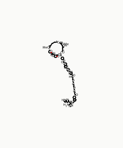 CO[C@H]1CC2CCC[C@@](O)(O2)C(=O)C(=O)N2CCCC[C@H]2C(=O)O[C@H](CC[C@H]2CC[C@H](OC(=O)N3CCc4nc(N5CCN(c6ncc(C(=O)NCCOCCOCCOCCOCCC(=O)N7CCc8cc(Cn9nc(-c%10cnc%11[nH]ccc%11c%10)c%10c(N)ncnc%109)ccc8C7)cn6)CC5)ncc4C3)CC2)CC(=O)[C@H](C)/C=C(\C)[C@@H](O)[C@@H](OC)C(=O)[C@H](C)C[C@H](C)/C=C/C=C/C=C/1C